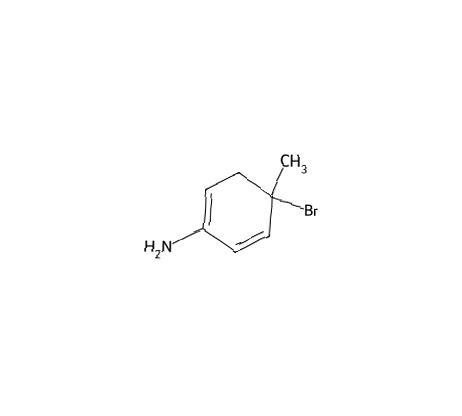 CC1(Br)C=CC(N)=CC1